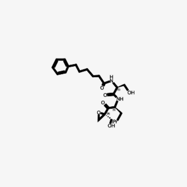 CC(C)C[C@H](NC(=O)[C@H](CO)NC(=O)CCCCCc1ccccc1)C(=O)[C@@]1(CO)CO1